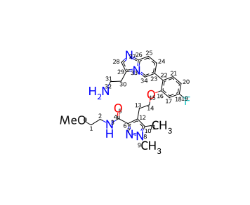 COCCNC(=O)c1nn(C)c(C)c1CCOc1cc(F)ccc1-c1ccc2ncc(CCN)n2c1